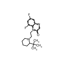 CC(C)(C)C1C[CH]CCN1CCn1c(=O)cnc2cc(F)cc(F)c21